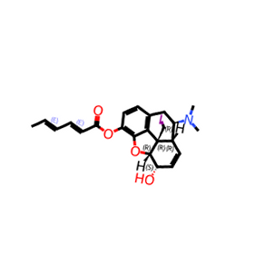 C/C=C/C=C/C(=O)Oc1ccc2c3c1O[C@H]1[C@@H](O)C=C[C@@H]([C@H](N(C)C)C2)[C@@]31CI